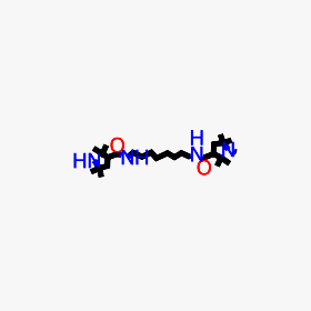 CN1C(C)(C)CC(C(=O)NCCCCCCCCNC(=O)C2CC(C)(C)NC2(C)C)C1(C)C